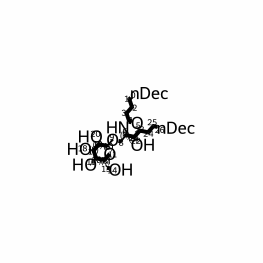 CCCCCCCCCCCCCC(=O)N[C@H](CO[C@H]1O[C@H](CO)[C@H](O)[C@H](O)[C@H]1O)[C@H](O)CCCCCCCCCCCCC